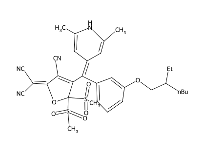 CCCCC(CC)COc1cccc(C(=C2C=C(C)NC(C)=C2)C2=C(C#N)C(=C(C#N)C#N)OC2(S(C)(=O)=O)S(C)(=O)=O)c1